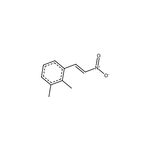 Cc1cccc(C=C[N+](=O)[O-])c1C